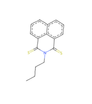 CCCCN1C(=S)c2cccc3cccc(c23)C1=S